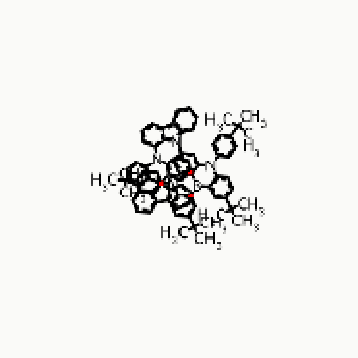 CC(C)(C)c1ccc(N2c3ccc(C(C)(C)C)cc3B3c4cc(C(C)(C)C)ccc4N(c4ccc(C(C)(C)C)cc4)c4cc(-n5c6ccccc6c6cccc(N7c8ccccc8C8(c9ccccc9-c9ccccc98)c8ccccc87)c65)cc2c43)cc1